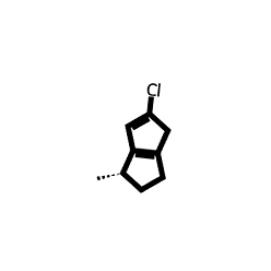 C[C@H]1CCC2=C1C=C(Cl)C2